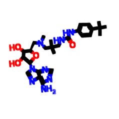 CN(C[C@H]1O[C@@H](n2cnc3c(N)ncnc32)C(O)C1O)CC(C)(C)CNC(=O)Nc1ccc(C(C)(C)C)cc1